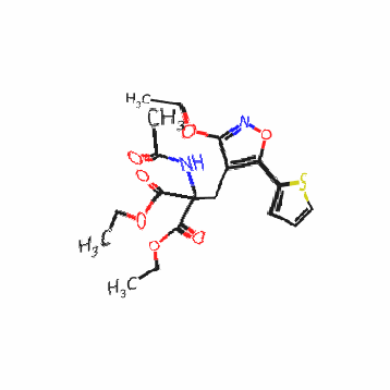 CCOC(=O)C(Cc1c(OCC)noc1-c1cccs1)(NC(C)=O)C(=O)OCC